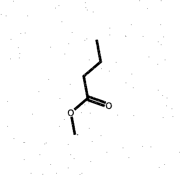 [CH2]OC(=O)CCC